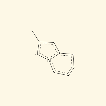 Cc1[c]n2ccccc2c1